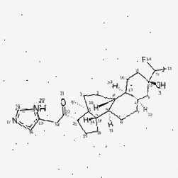 C[C@]12CC[C@H]3[C@@H](CC[C@@H]4C[C@@](O)(C(F)F)CC[C@@H]43)[C@@H]1CC[C@@H]2C(=O)Cc1cnc[nH]1